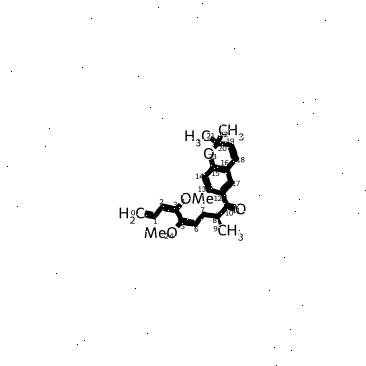 C=C/C=C(OC)\C(=C/C[C@H](C)C(=O)c1ccc2c(c1)C=CC(C)(C)O2)OC